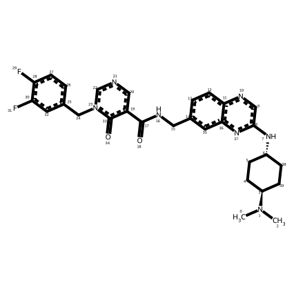 CN(C)[C@H]1CC[C@H](Nc2cnc3ccc(CNC(=O)c4cncn(Cc5ccc(F)c(F)c5)c4=O)cc3n2)CC1